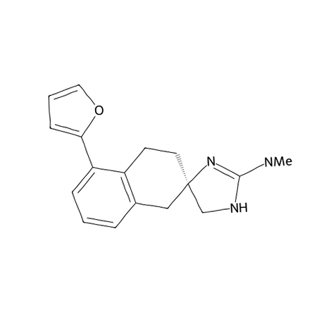 CNC1=N[C@@]2(CCc3c(cccc3-c3ccco3)C2)CN1